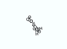 O=C1NC(=O)/C(=C\c2ccc(-c3ccc4c(c3)COC4=O)s2)N1